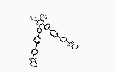 Cc1nc(-c2ccc(-c3ccc(-c4ccc(-c5nc6ccccc6o5)cc4)cc3)cc2)c(-c2ccc(-c3ccc(-c4ccc(-c5nc6ccccc6o5)cc4)cc3)cc2)nc1C